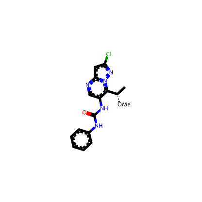 CO[C@@H](C)c1c(NC(=O)Nc2ccccc2)cnc2cc(Cl)nn12